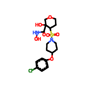 O=C(NO)C1(O)COCCC1S(=O)(=O)N1CCC(Oc2ccc(Cl)cc2)CC1